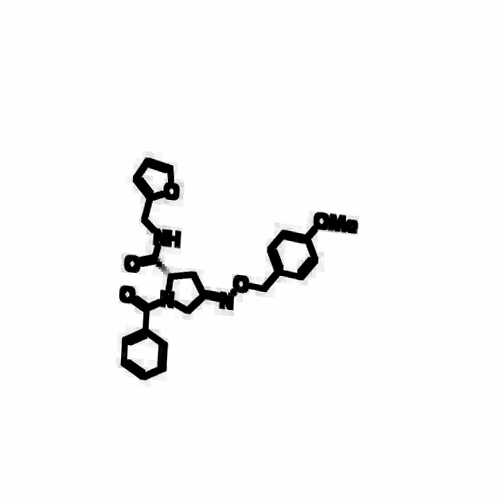 COc1ccc(CO/N=C2\C[C@@H](C(=O)NCc3ccco3)N(C(=O)c3ccccc3)C2)cc1